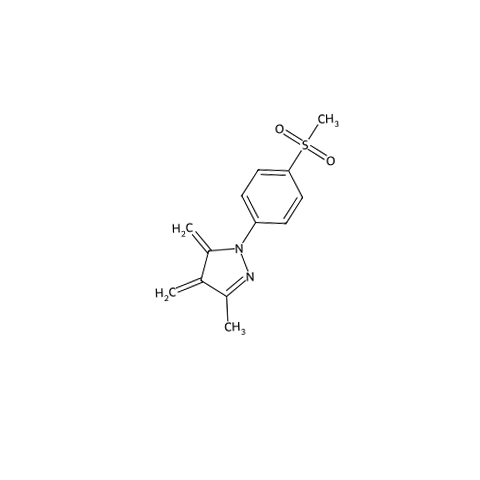 C=c1c(C)nn(-c2ccc(S(C)(=O)=O)cc2)c1=C